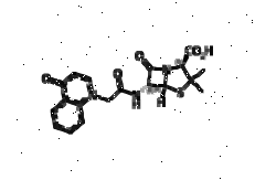 CC1(C)S[C@@H]2[C@H](NC(=O)Cn3ccc(=O)c4ccccc43)C(=O)N2[C@H]1C(=O)O